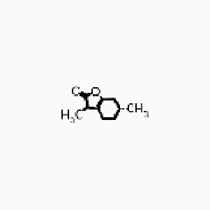 CC1C(=O)OC2=C1CC[C@@H](C)C2